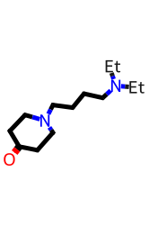 CCN(CC)CCCCN1CCC(=O)CC1